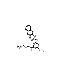 Cc1cc(NCCCN)nc(NC(=O)NC2Cc3ccccc3CN2)n1